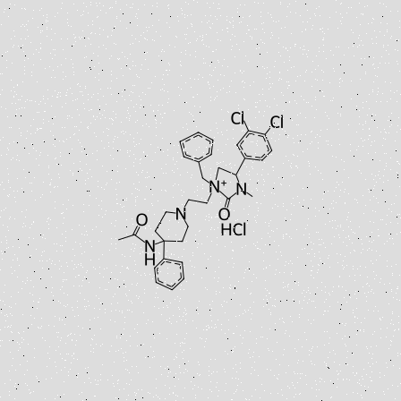 CC(=O)NC1(c2ccccc2)CCN(CC[N+]2(Cc3ccccc3)CC(c3ccc(Cl)c(Cl)c3)N(C)C2=O)CC1.Cl